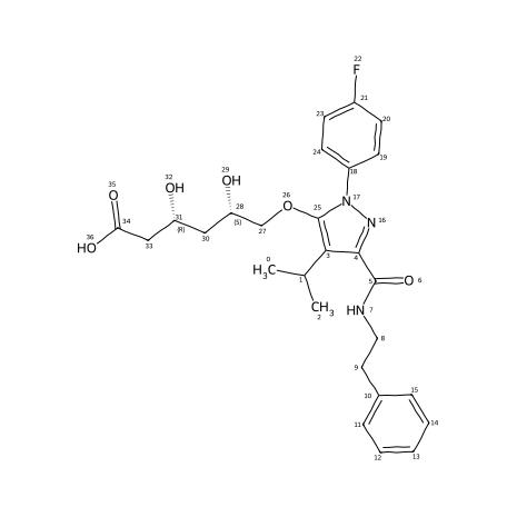 CC(C)c1c(C(=O)NCCc2ccccc2)nn(-c2ccc(F)cc2)c1OC[C@@H](O)C[C@@H](O)CC(=O)O